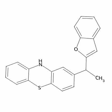 CC(c1ccc2c(c1)Nc1ccccc1S2)c1cc2ccccc2o1